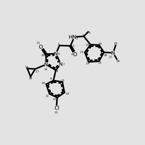 CC(NC(=O)Cn1nc(-c2ccc(Cl)cc2)n(C2CC2)c1=O)c1cccc(N(C)C)c1